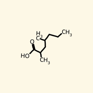 CCCC(C)CC(C)C(=O)O